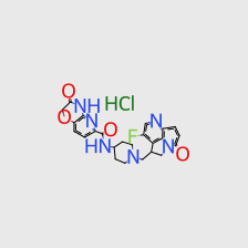 Cl.O=C1COc2ccc(C(=O)NC3CCN(CC4Cn5c(=O)ccc6ncc(F)c4c65)CC3)nc2N1